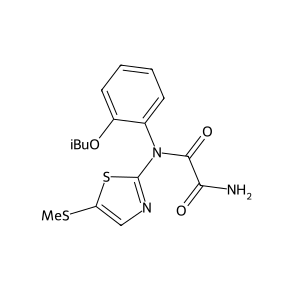 CSc1cnc(N(C(=O)C(N)=O)c2ccccc2OCC(C)C)s1